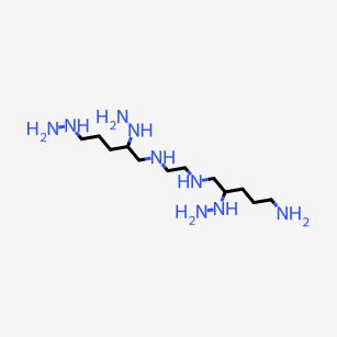 NCCCC(CNCCNCC(CCCNN)NN)NN